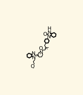 COCCCn1c([C@@H]2CCCN(C(=O)C[C@H](C)Cc3ccc(-n4c(=O)[nH]c5ccccc54)cc3)C2)nc2ccccc21